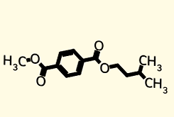 COC(=O)c1ccc(C(=O)OCCC(C)C)cc1